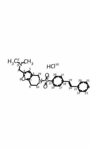 CN(C)Cc1cc2c(o1)CCN(S(=O)(=O)c1ccc(C=Cc3ccccc3)cc1)C2.Cl